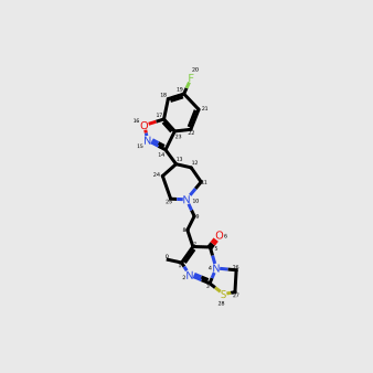 Cc1nc2n(c(=O)c1CCN1CCC(c3noc4cc(F)ccc34)CC1)CCS2